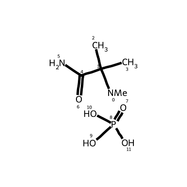 CNC(C)(C)C(N)=O.O=P(O)(O)O